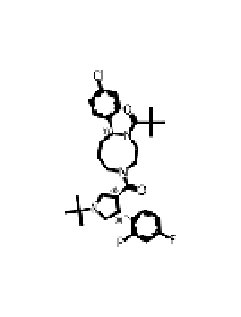 CC(C)(C)C(=O)N1CCN(C(=O)[C@@H]2CN(C(C)(C)C)C[C@H]2c2ccc(F)cc2F)CCC[C@H]1c1ccc(Cl)cc1